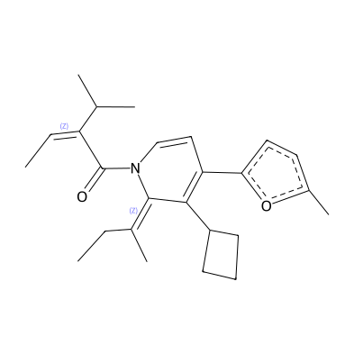 C/C=C(\C(=O)N1C=CC(c2ccc(C)o2)=C(C2CCC2)/C1=C(\C)CC)C(C)C